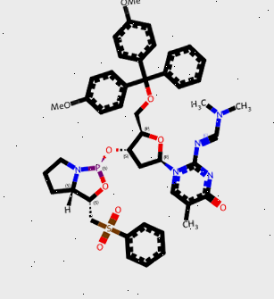 COc1ccc(C(OC[C@H]2O[C@@H](n3cc(C)c(=O)nc3/N=C/N(C)C)C[C@@H]2O[P@]2O[C@H](CS(=O)(=O)c3ccccc3)[C@@H]3CCCN32)(c2ccccc2)c2ccc(OC)cc2)cc1